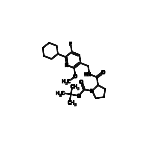 COc1nc(C2CCCCC2)c(F)cc1CNC(=O)C1CCCN1C(=O)OC(C)(C)C